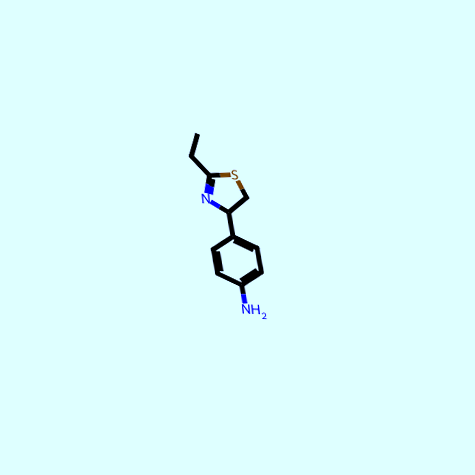 CCC1=NC(c2ccc(N)cc2)CS1